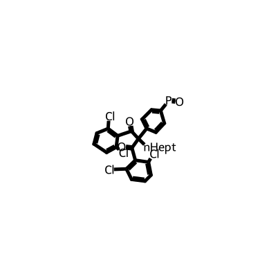 CCCCCCCC(C(=O)c1c(Cl)cccc1Cl)(C(=O)c1c(Cl)cccc1Cl)c1ccc(P=O)cc1